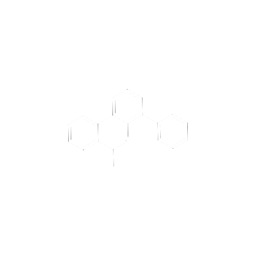 CC1Oc2c(-c3ccccc3)cccc2-c2ccccc21